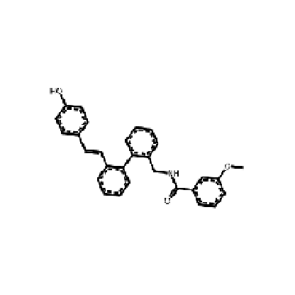 COc1cccc(C(=O)NCc2ccccc2-c2ccccc2/C=C/c2ccc(O)cc2)c1